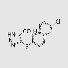 O=C(O)c1[nH]nnc1Sc1ccc2cc(Cl)ccc2c1